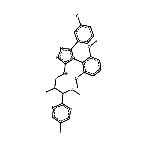 COc1cccc(OC)c1-n1c(NSC(C)C(OC)c2ncc(C)cn2)nnc1-c1cccc(Cl)c1